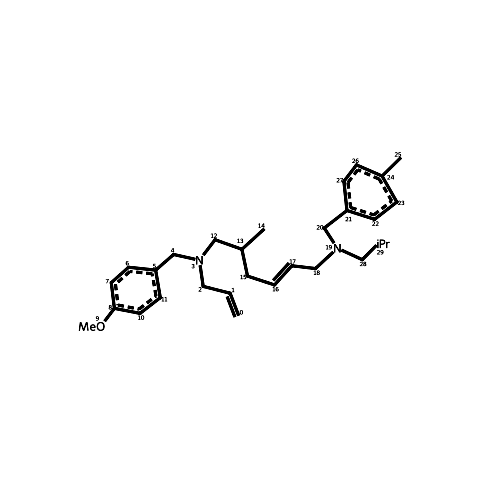 C=CCN(Cc1ccc(OC)cc1)CC(C)C/C=C/CN(Cc1ccc(C)cc1)CC(C)C